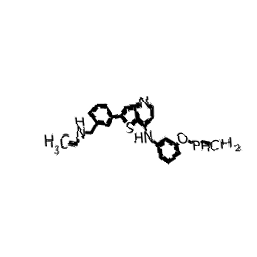 C=CPOc1cccc(Nc2ccnc3cc(-c4cccc(CNCC)c4)sc23)c1